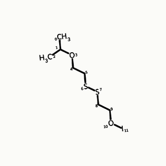 CC(C)OCCSSCCOI